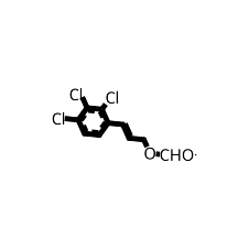 O=[C]OC/C=C/c1ccc(Cl)c(Cl)c1Cl